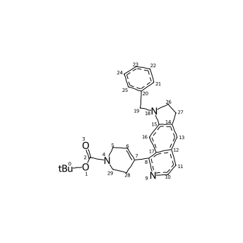 CC(C)(C)OC(=O)N1CC=C(c2nccc3cc4c(cc23)N(Cc2ccccc2)CC4)CC1